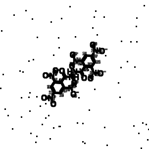 O=C(NNC(=O)c1c([N+](=O)[O-])cc([N+](=O)[O-])cc1[N+](=O)[O-])c1c([N+](=O)[O-])cc([N+](=O)[O-])cc1[N+](=O)[O-]